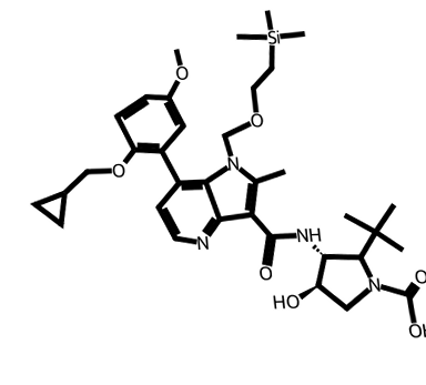 COc1ccc(OCC2CC2)c(-c2ccnc3c(C(=O)N[C@@H]4C(C(C)(C)C)N(C(=O)O)C[C@H]4O)c(C)n(COCC[Si](C)(C)C)c23)c1